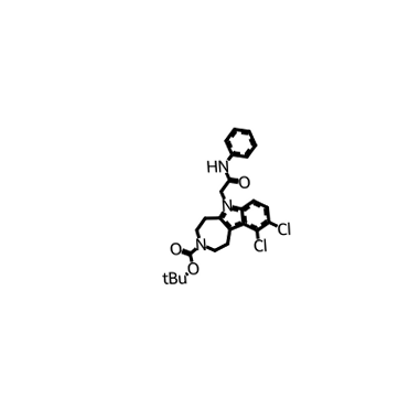 CC(C)(C)OC(=O)N1CCc2c(n(CC(=O)Nc3ccccc3)c3ccc(Cl)c(Cl)c23)CC1